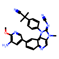 COc1ncc(-c2ccc3ncc4c(c3c2)n(-c2ccc(C(C)(C)C#N)cc2)/c(=N\C#N)n4C)cc1N